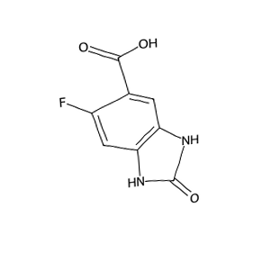 O=C(O)c1cc2[nH]c(=O)[nH]c2cc1F